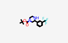 CC(C)(C)OC(=O)N1CCNC(c2cccc(C(F)(F)F)c2)C1